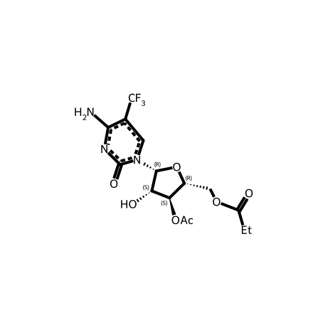 CCC(=O)OC[C@H]1O[C@@H](n2cc(C(F)(F)F)c(N)nc2=O)[C@@H](O)[C@@H]1OC(C)=O